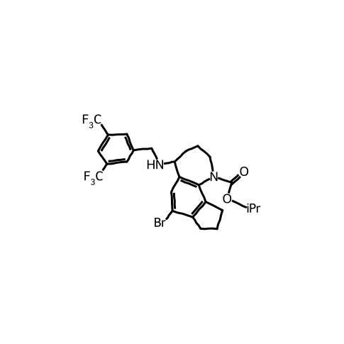 CC(C)OC(=O)N1CCCC(NCc2cc(C(F)(F)F)cc(C(F)(F)F)c2)c2cc(Br)c3c(c21)CCC3